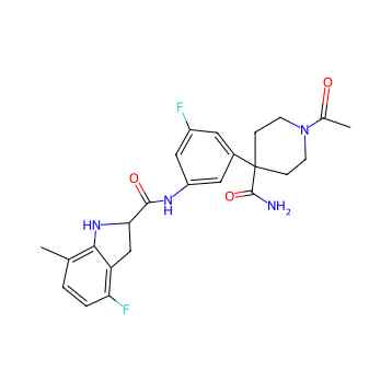 CC(=O)N1CCC(C(N)=O)(c2cc(F)cc(NC(=O)C3Cc4c(F)ccc(C)c4N3)c2)CC1